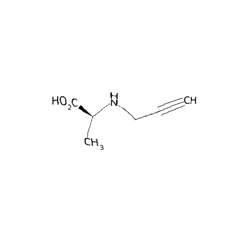 C#CCN[C@@H](C)C(=O)O